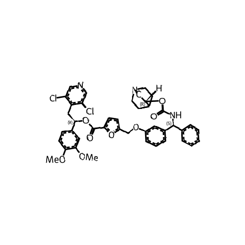 COc1ccc([C@@H](Cc2c(Cl)cncc2Cl)OC(=O)c2ccc(COc3cccc([C@@H](NC(=O)O[C@H]4CN5CCC4CC5)c4ccccc4)c3)o2)cc1OC